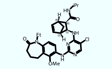 CCN1C(=O)CCCc2c1ccc(Nc1ncc(Cl)c(N[C@@H]3[C@H](C(=O)NC(C)C)[C@H]4C=C[C@@H]3C4)n1)c2OC